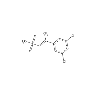 CS(=O)(=O)C=C(c1cc(Cl)cc(Cl)c1)C(F)(F)F